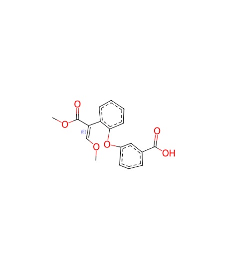 CO/C=C(/C(=O)OC)c1ccccc1Oc1cccc(C(=O)O)c1